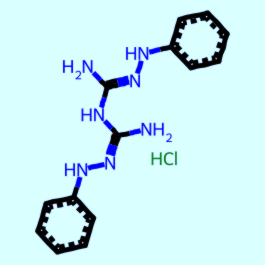 Cl.NC(=NNc1ccccc1)NC(N)=NNc1ccccc1